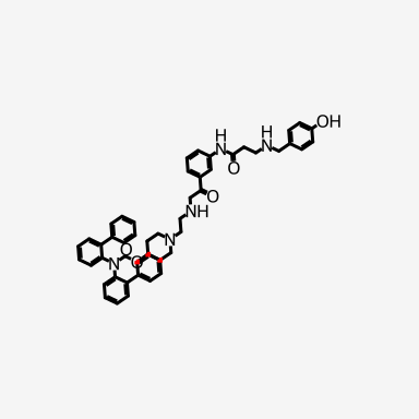 O=C(CCNCc1ccc(O)cc1)Nc1cccc(C(=O)CNCCN2CCC(OC(=O)N(c3ccccc3-c3ccccc3)c3ccccc3-c3ccccc3)CC2)c1